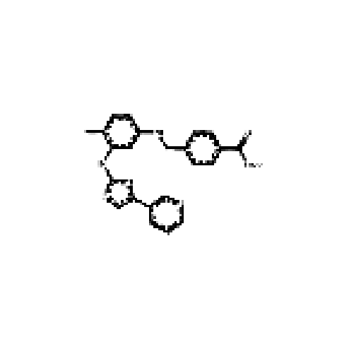 COC(=O)c1ccc(CNc2ccc(C)c(Nc3nc(-c4cccnc4)co3)c2)cc1